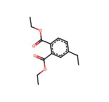 CCOC(=O)c1ccc(CC)cc1C(=O)OCC